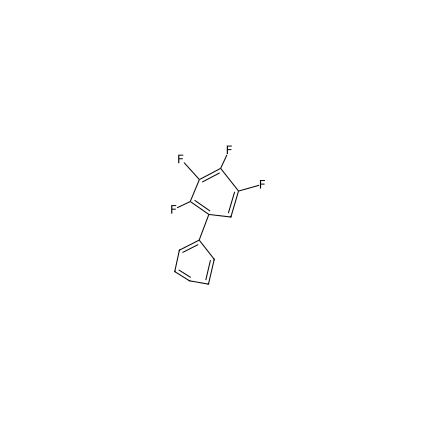 Fc1cc(-c2ccccc2)c(F)c(F)c1F